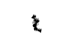 CC1C2N=CSC12CNC(=O)c1nn(C)cc1NC(=O)c1cccc(-c2ccnc(NCC3CC3)c2)n1